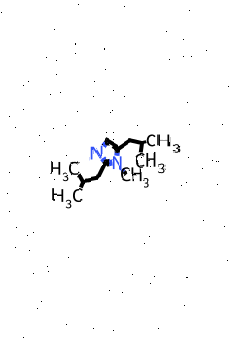 CC(C)Cc1cnc(CC(C)C)n1C